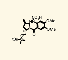 C=C1C[C@@H](CO[Si](C)(C)C(C)(C)C)N(C(=O)c2cc(OC)c(OC)cc2NC(=O)O)C1